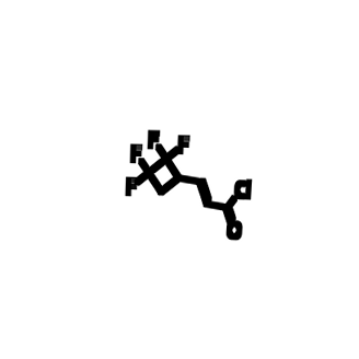 O=C(Cl)C=CC1CC(F)(F)C1(F)F